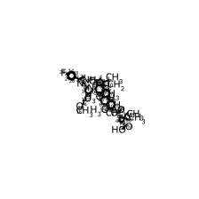 C=C(C)C1CC[C@]2(C(=O)N3C[C@H](OCCOC)C[C@H]3c3nc(-c4ccc(F)cc4)c[nH]3)CC[C@]3(C)[C@H](CC[C@@H]4[C@@]5(C)CC[C@H](OC(=O)[C@H]6C[C@@H](C(=O)O)C6(CC)CC)C(C)(C)C5CC[C@]43C)[C@@H]12